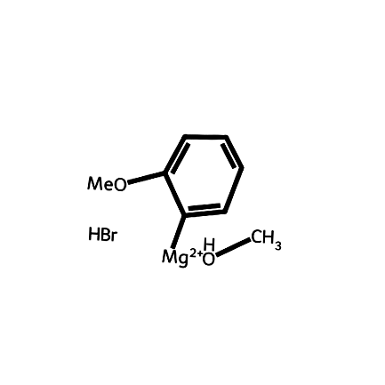 Br.CO.COc1cccc[c]1[Mg+2]